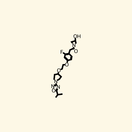 CC(C)c1nc(N2CCC(OCCOc3ccc(CC(=O)N4CC(O)C4)c(F)c3)CC2)no1